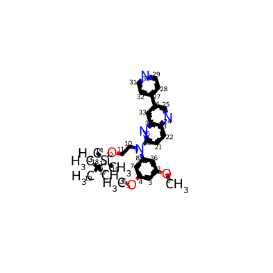 COc1cc(OC)cc(N(CCO[Si](C)(C)C(C)(C)C)c2ccc3ncc(-c4ccncc4)cc3n2)c1